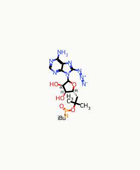 CCC(C)[PH](=O)OC(C)(C)C[C@H]1OC(n2c(N=[N+]=[N-])nc3c(N)ncnc32)[C@H](O)[C@@H]1O